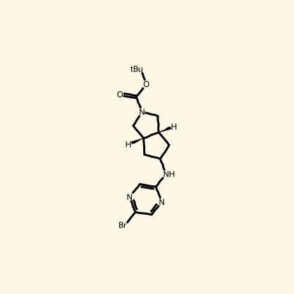 CC(C)(C)OC(=O)N1C[C@H]2CC(Nc3cnc(Br)cn3)C[C@H]2C1